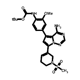 COc1cc(-c2cc(C3=CCCN(S(C)(=O)=O)C3)n3ncnc(N)c23)ccc1NC(=O)OC(C)(C)C